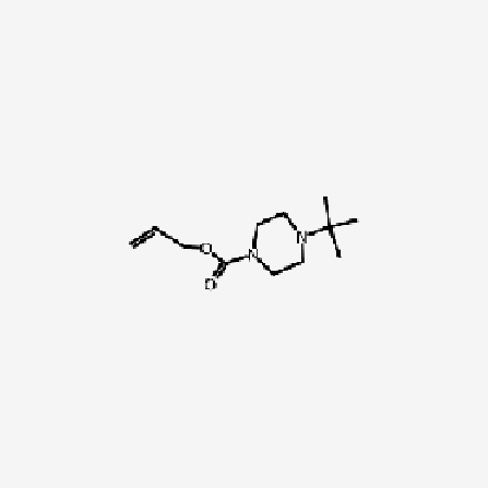 C=CCOC(=O)N1CCN(C(C)(C)C)CC1